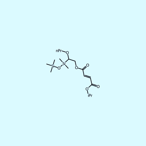 CCCOC(COC(=O)C=CC(=O)OC(C)C)[Si](C)(C)O[Si](C)(C)C